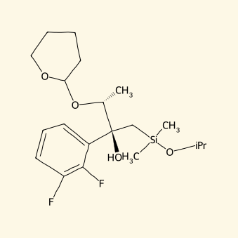 CC(C)O[Si](C)(C)C[C@](O)(c1cccc(F)c1F)[C@@H](C)OC1CCCCO1